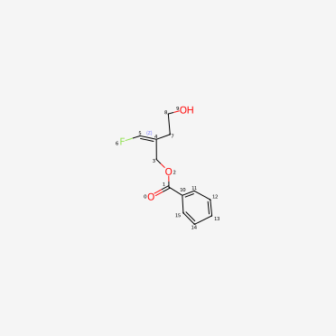 O=C(OC/C(=C\F)CCO)c1ccccc1